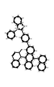 CC1C=Cc2ccccc2C1c1c2ccccc2c(-c2cccc3ccccc23)c2ccc(-c3ccc(-c4nc5ccccc5n4-c4ccccc4)cc3)cc12